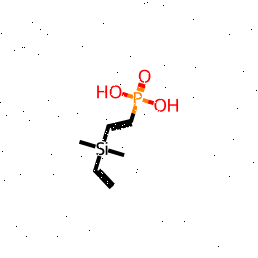 C=C[Si](C)(C)C=CP(=O)(O)O